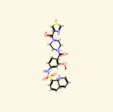 COc1cc(NS(=O)(=O)c2cccc3cccnc23)ccc1C(=O)N1CCN(C(=O)c2cscn2)CC1